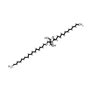 CCCCCCCCCCCCCCCCCCOCC(CO)(CO)NC(=O)CCCCCCCCCCCCC